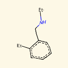 C[CH]NCc1ccccc1CC